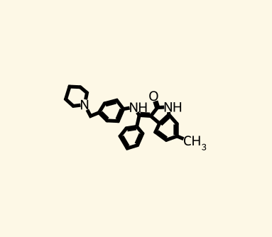 Cc1ccc2c(c1)NC(=O)/C2=C(\Nc1ccc(CN2CCCCC2)cc1)c1ccccc1